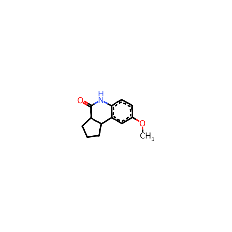 COc1ccc2c(c1)C1CCCC1C(=O)N2